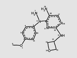 COc1ccc(N(N)c2nc(NC3COC3)ncc2N)cc1